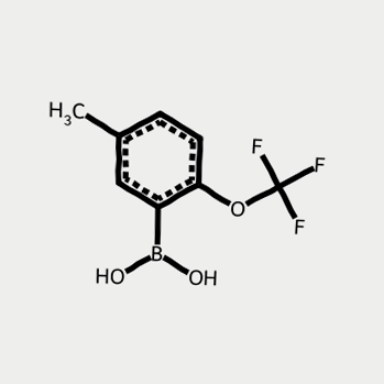 Cc1ccc(OC(F)(F)F)c(B(O)O)c1